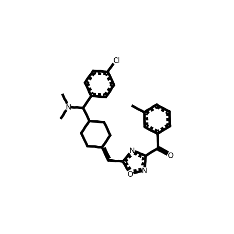 Cc1cccc(C(=O)c2noc(C=C3CCC(C(c4ccc(Cl)cc4)N(C)C)CC3)n2)c1